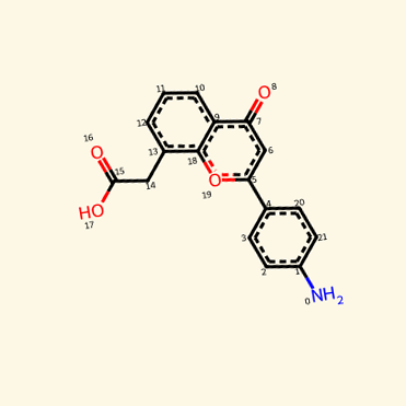 Nc1ccc(-c2cc(=O)c3cccc(CC(=O)O)c3o2)cc1